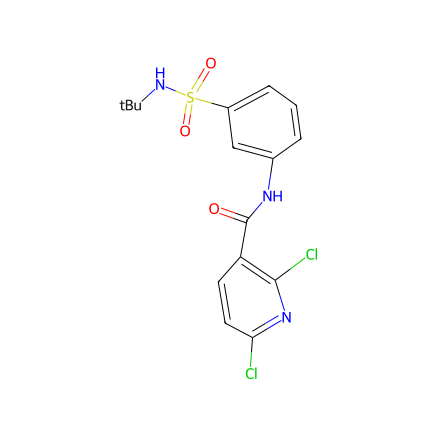 CC(C)(C)NS(=O)(=O)c1cccc(NC(=O)c2ccc(Cl)nc2Cl)c1